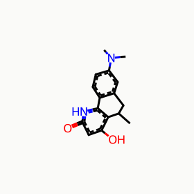 CC1Cc2cc(N(C)C)ccc2-c2[nH]c(=O)cc(O)c21